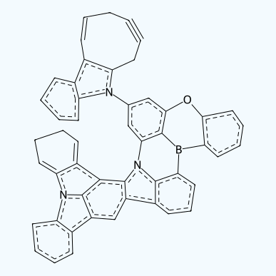 C1#CCc2c(c3ccccc3n2-c2cc3c4c(c2)-n2c5c(cccc5c5cc6c7ccccc7n7c8c(c(c52)c67)=CCCC=8)B4c2ccccc2O3)/C=C\C1